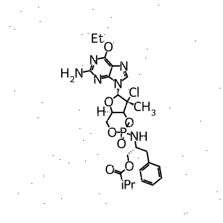 CCOc1nc(N)nc2c1ncn2[C@@H]1O[C@@H]2COP(=O)(N[C@@H](COC(=O)C(C)C)Cc3ccccc3)OC2[C@@]1(C)Cl